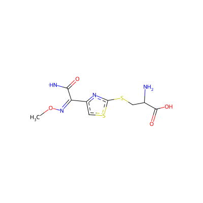 CON=C(C([NH])=O)c1csc(SCC(N)C(=O)O)n1